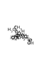 CC(C)COc1ccc(CNc2ccc(CCC(=O)O)cc2)cc1CN1c2ccccc2C=CC1(C)C